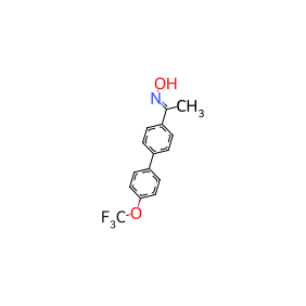 CC(=NO)c1ccc(-c2ccc(OC(F)(F)F)cc2)cc1